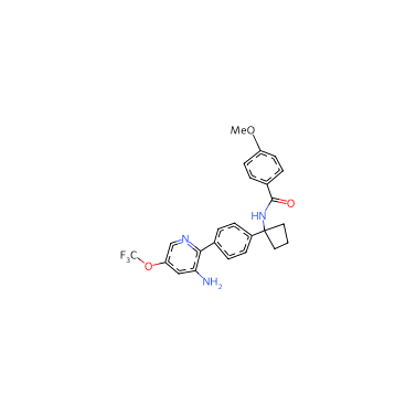 COc1ccc(C(=O)NC2(c3ccc(-c4ncc(OC(F)(F)F)cc4N)cc3)CCC2)cc1